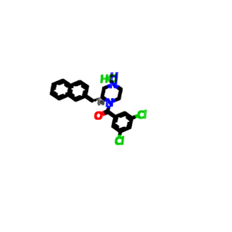 Cl.O=C(c1cc(Cl)cc(Cl)c1)N1CCNC[C@H]1Cc1ccc2ccccc2c1